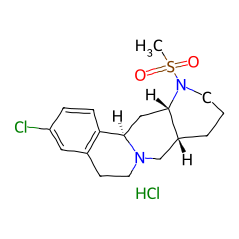 CS(=O)(=O)N1CCC[C@@H]2CN3CCc4cc(Cl)ccc4[C@H]3C[C@@H]21.Cl